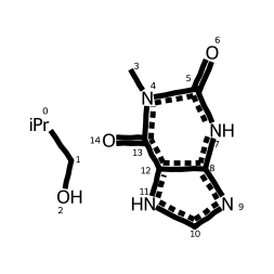 CC(C)CO.Cn1c(=O)[nH]c2nc[nH]c2c1=O